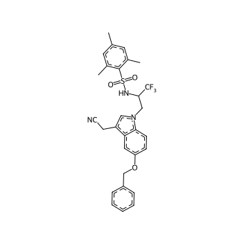 Cc1cc(C)c(S(=O)(=O)NC(Cn2cc(CC#N)c3cc(OCc4ccccc4)ccc32)C(F)(F)F)c(C)c1